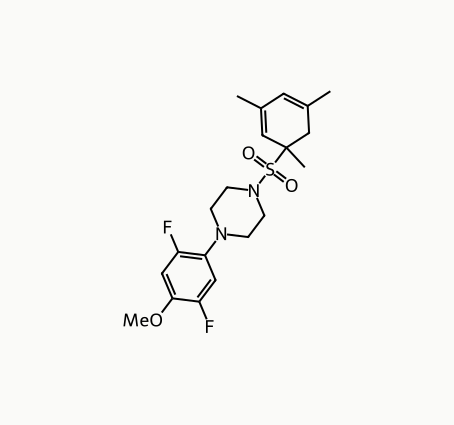 COc1cc(F)c(N2CCN(S(=O)(=O)C3(C)C=C(C)C=C(C)C3)CC2)cc1F